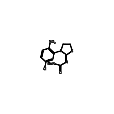 CNC(=O)/N=C1/SCCN1c1cc(Cl)ccc1[N+](=O)[O-]